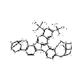 CC(C)(C)c1cc(C(C)(C)C)c2cc3c4c5c(ccc4n4c6cnc7c(c6c(c2c1)c34)C1CC2CC3CC7CC32C1)C1CC2CC(C1)CC5C2